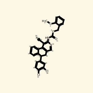 COc1ccccc1COC(=O)Nc1ncc2c(c1C#N)-c1ccccc1C(c1ccc(Cl)c(Cl)c1)C2